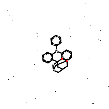 c1ccc(N(c2ccccc2)c2ccccc2C23CC4CC(CC(C4)C2)C3)cc1